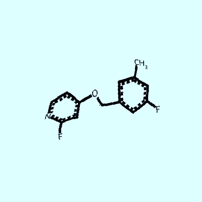 Cc1cc(F)cc([CH]Oc2ccnc(F)c2)c1